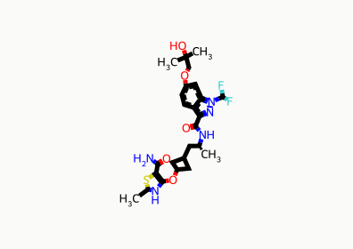 CC1NC(OC2CC(C[C@H](C)NC(=O)c3nn(C(F)F)c4cc(OCC(C)(C)O)ccc34)C2)=C(C(N)=O)S1